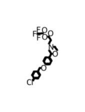 O=C(CCN1CCOC(c2ccc(OCc3ccc(Cl)cc3)cc2)C1)OC(=O)C(F)(F)F